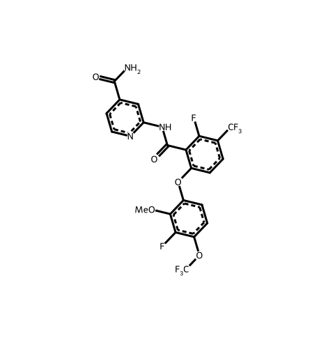 COc1c(Oc2ccc(C(F)(F)F)c(F)c2C(=O)Nc2cc(C(N)=O)ccn2)ccc(OC(F)(F)F)c1F